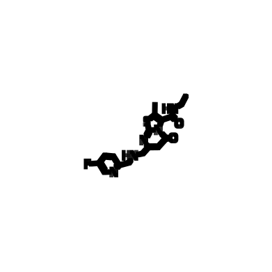 CCNC(=O)c1c(C)sc2nc(CNCc3ccc(F)cn3)cc(=O)n12